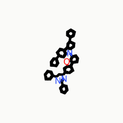 c1ccc(C2=NC(c3ccccc3)=NC(c3ccc4c(c3)oc3c(-n5c6ccc(-c7ccccc7)cc6c6ccc(-c7ccccc7)cc65)cccc34)C2)cc1